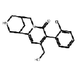 O=c1c(-c2ccccc2Cl)c(CO)cc2n1CC1CNCC2C1